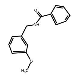 COc1cccc(CNC(=O)c2ccccc2)c1